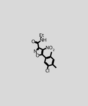 CCNC(=O)c1noc(-c2cc(Cl)c(C)cc2C)c1[N+](=O)[O-]